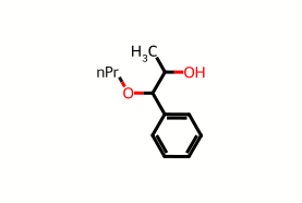 CCCOC(c1ccccc1)C(C)O